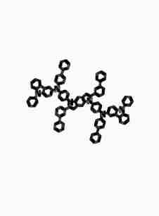 c1ccc(-c2ccc(N(c3ccc(-n4c(-c5cccc(-c6ccccc6)c5)cc5cc6c(cc(-c7cccc(-c8ccccc8)c7)n6-c6ccc(N(c7ccc(-c8ccccc8)cc7)c7ccc8c(c7)c7ccccc7n8-c7ccccc7)cc6)cc54)cc3)c3ccc4c(c3)c3ccccc3n4-c3ccccc3)cc2)cc1